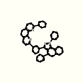 c1ccc(-c2ccc3ccc4ccc(-c5cccc(-c6nn(-c7ccccc7)c7c6c(-c6ccccc6)cc6ccccc67)c5)nc4c3n2)cc1